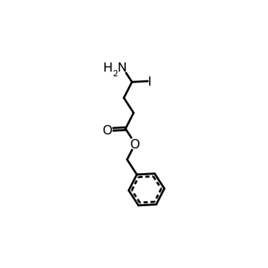 NC(I)CCC(=O)OCc1ccccc1